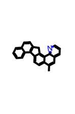 Cc1cc2cccnc2c2c3c(ccc12)-c1c(ccc2ccccc12)C3